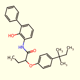 CCC(Oc1ccc(C(C)(C)CC)cc1)C(=O)Nc1cccc(-c2ccccc2)c1O